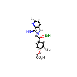 Br.CCc1ccc2c(n1)C(=N)N(CC(=O)c1ccc(OCC(=O)O)c(C(C)(C)C)c1)C2